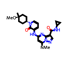 CNc1cc(Nc2cccn([C@H]3CC[C@](C)(OC)CC3)c2=O)nc2c(C(=O)NC3CC3)cnn12